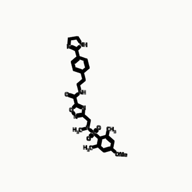 COc1cc(C)c(S(=O)(=O)N(C)Cc2noc(C(=O)NCCc3ccc(C4=NCCN4)cc3)n2)c(C)c1